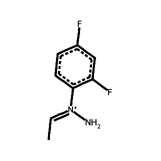 CC=[N+](N)c1ccc(F)cc1F